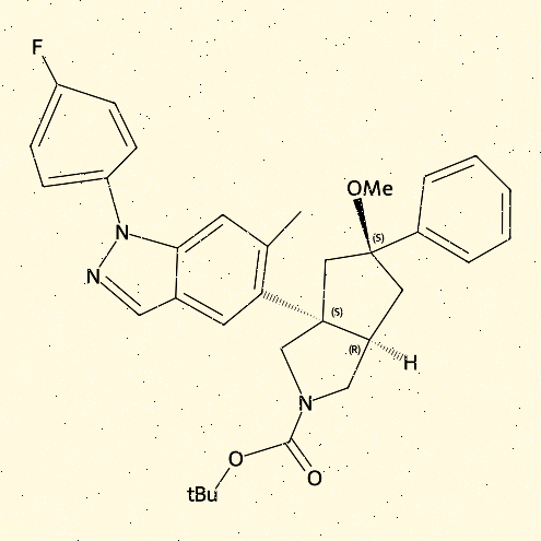 CO[C@@]1(c2ccccc2)C[C@H]2CN(C(=O)OC(C)(C)C)C[C@@]2(c2cc3cnn(-c4ccc(F)cc4)c3cc2C)C1